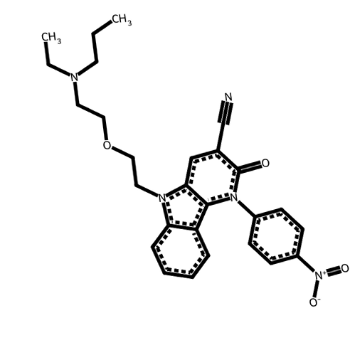 CCCN(CC)CCOCCn1c2ccccc2c2c1cc(C#N)c(=O)n2-c1ccc([N+](=O)[O-])cc1